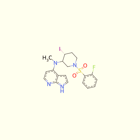 CN(c1ccnc2[nH]ccc12)C1CN(S(=O)(=O)c2ccccc2F)CC[C@H]1I